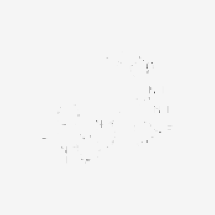 C[C@H](Nc1ncc2cc(-c3ccc(F)c(NC(=O)Nc4cc(C(C)(C)C)no4)c3)c(=O)n(C)c2n1)c1ccccc1